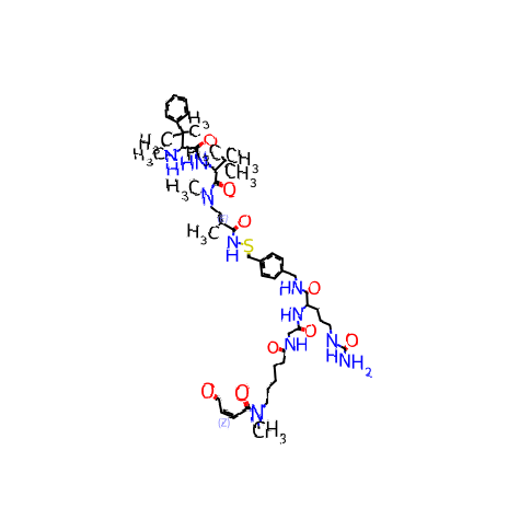 CNC(C(=O)NC(C(=O)N(C)C/C=C(\C)C(=O)NSCc1ccc(CNC(=O)C(CCCNC(N)=O)NC(=O)CNC(=O)CCCCCN(C)C(=O)/C=C\C=O)cc1)C(C)(C)C)C(C)(C)c1ccccc1